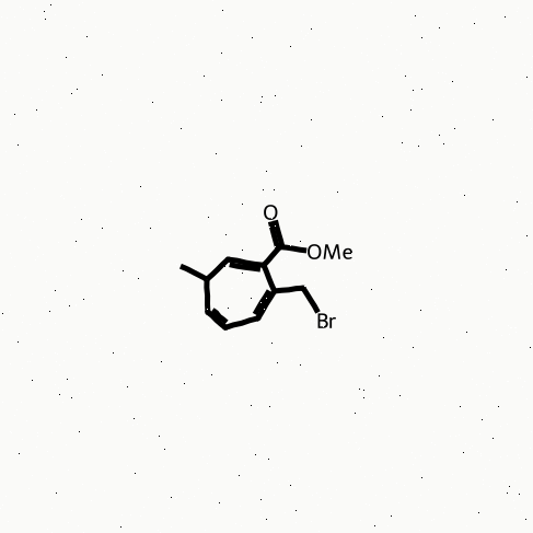 COC(=O)C1=CC(C)C=CC=C1CBr